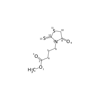 COC(=O)CCCN1C(=O)CSC1=S